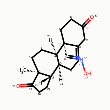 C[C@]12CC[C@@H]3[C@@H](CC=C4CC(=O)CC[C@@]43C=NO)[C@@H]1CCC2=O